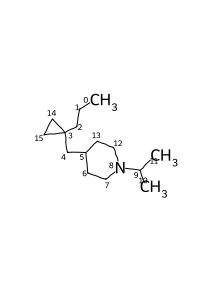 CCCC1(CC2CCN(C(C)C)CC2)CC1